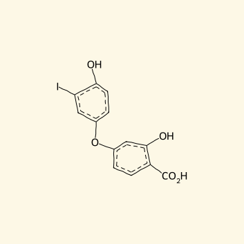 O=C(O)c1ccc(Oc2ccc(O)c(I)c2)cc1O